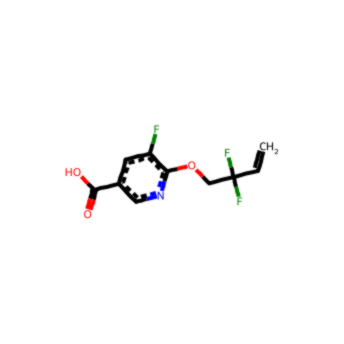 C=CC(F)(F)COc1ncc(C(=O)O)cc1F